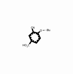 CC[C@@H](C)Oc1ccc(C(=O)O)cc1C#N